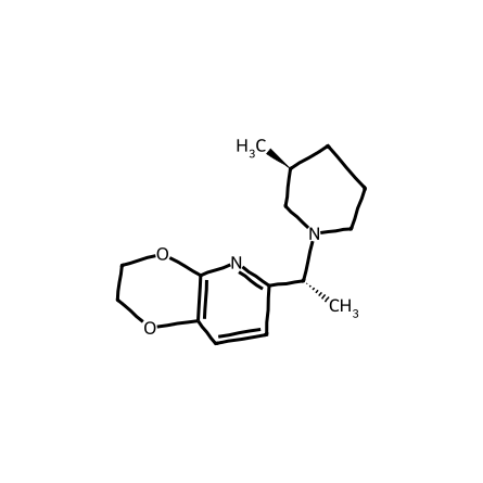 C[C@H]1CCCN([C@H](C)c2ccc3c(n2)OCCO3)C1